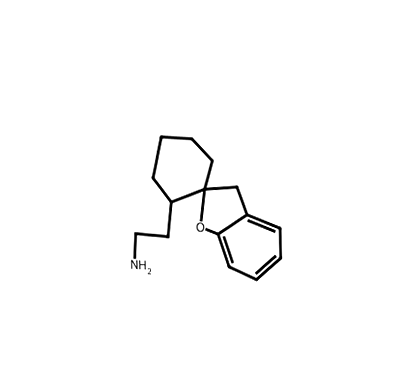 NCCC1CCCCC12Cc1ccccc1O2